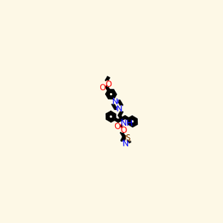 CCOC(=O)c1ccc(N2CCN(CCC(Cc3ccccc3)(Cc3ccccc3)NC(=O)OCc3cncs3)CC2)cc1